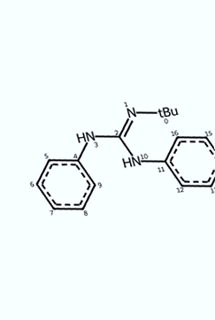 CC(C)(C)N=C(Nc1ccccc1)Nc1ccccc1